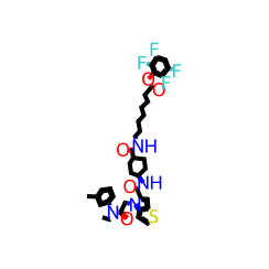 CCN(C(=O)Cn1c(C(=O)NC2CCC(C(=O)NCCCCCCCC(=O)Oc3c(F)c(F)cc(F)c3F)CC2)cc2sccc21)c1cccc(C)c1